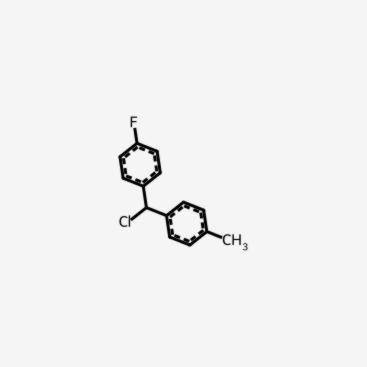 Cc1ccc(C(Cl)c2ccc(F)cc2)cc1